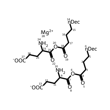 CCCCCCCCCCCCCC(=O)OC(=O)C(N)CCC(=O)[O-].CCCCCCCCCCCCCC(=O)OC(=O)C(N)CCC(=O)[O-].[Mg+2]